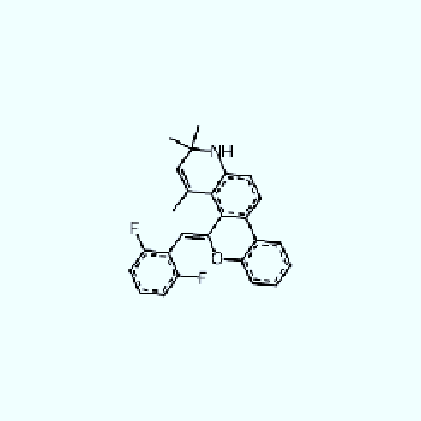 CC1=CC(C)(C)Nc2ccc3c(c21)C(=Cc1c(F)cccc1F)Oc1ccccc1-3